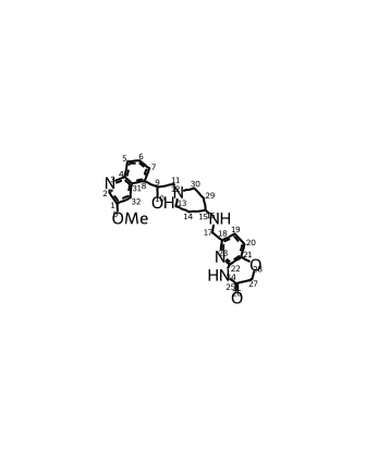 COc1cnc2cccc(C(O)CN3CCC(NCc4ccc5c(n4)NC(=O)CO5)CC3)c2c1